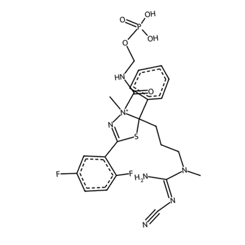 CN(CCCC1(c2ccccc2)SC(c2cc(F)ccc2F)=N[N+]1(C)C(=O)NCOP(=O)(O)O)/C(N)=N/C#N